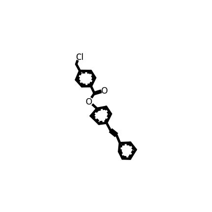 O=C(Oc1ccc(C#Cc2ccccc2)cc1)c1ccc(CCl)cc1